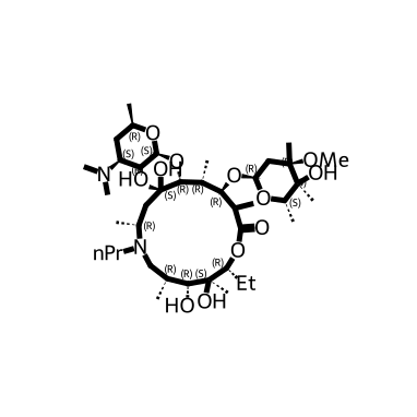 CCCN1C[C@@H](C)[C@@H](O)[C@](C)(O)[C@@H](CC)OC(=O)C(C)[C@H](O[C@H]2C[C@@](C)(OC)[C@@](C)(O)[C@H](C)O2)[C@@H](C)[C@@H](O[C@@H]2O[C@H](C)C[C@H](N(C)C)[C@H]2O)[C@@](C)(O)C[C@H]1C